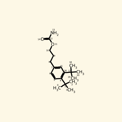 CC(C)(C)c1ccc(CCCOC(N)=O)cc1C(C)(C)C